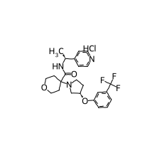 C[C@H](NC(=O)C1(N2CC[C@@H](Oc3cccc(C(F)(F)F)c3)C2)CCOCC1)c1ccncc1.Cl